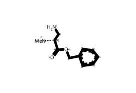 CN[C@H](CN)C(=O)OCc1ccccc1